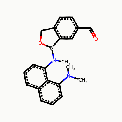 CN(C)c1cccc2cccc(N(C)B3OCc4ccc(C=O)cc43)c12